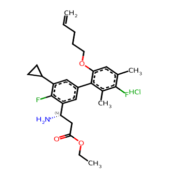 C=CCCCOc1cc(C)c(F)c(C)c1-c1cc(C2CC2)c(F)c([C@@H](N)CC(=O)OCC)c1.Cl